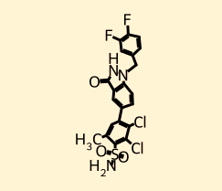 Cc1cc(-c2ccc3c(c2)c(=O)[nH]n3Cc2ccc(F)c(F)c2)c(Cl)c(Cl)c1S(N)(=O)=O